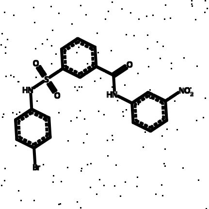 O=C(Nc1cccc([N+](=O)[O-])c1)c1cccc(S(=O)(=O)Nc2ccc(Br)cc2)c1